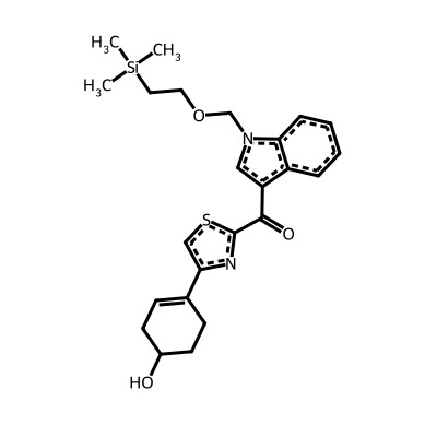 C[Si](C)(C)CCOCn1cc(C(=O)c2nc(C3=CCC(O)CC3)cs2)c2ccccc21